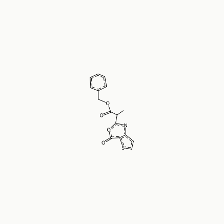 CC(C(=O)OCc1ccccc1)c1nc2ccsc2c(=O)o1